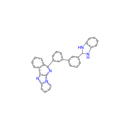 c1cc(-c2cccc(C3Nc4ccccc4N3)c2)cc(-c2nc3c(nc4ccccn43)c3ccccc23)c1